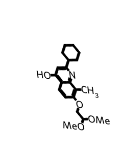 COC(COc1ccc2c(O)cc(C3CCCCC3)nc2c1C)OC